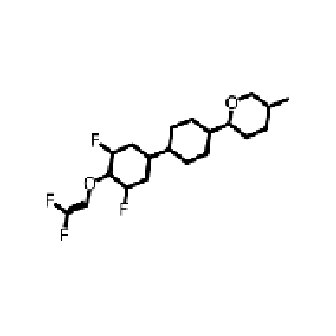 CC1CCC(C2CCC(C3CC(F)C(OC=C(F)F)C(F)C3)CC2)OC1